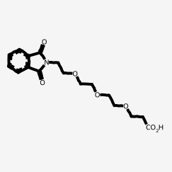 O=C(O)CCOCCOCCOCCN1C(=O)c2ccccc2C1=O